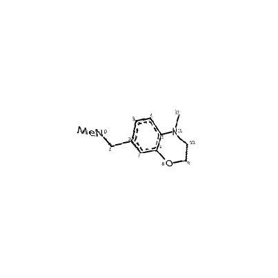 CNCc1ccc2c(c1)OCCN2C